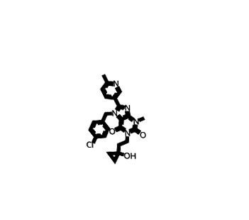 Cc1ccc(-c2nc3c(c(=O)n(CCC4(O)CC4)c(=O)n3C)n2Cc2ccc(Cl)cc2)cn1